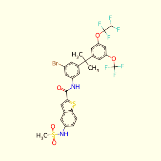 CC(C)(c1cc(Br)cc(NC(=O)c2cc3cc(NS(C)(=O)=O)ccc3s2)c1)c1cc(OC(F)(F)F)cc(OC(F)(F)C(F)F)c1